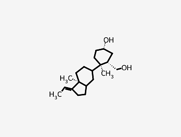 C/C=C1\CCC2CC([C@@]3(C)CC[C@H](O)C[C@@H]3CO)CC[C@]12C